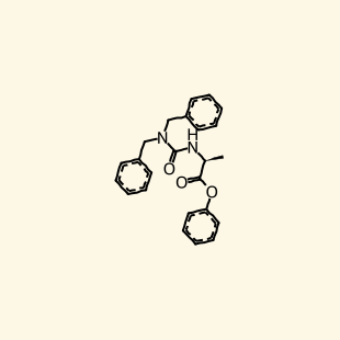 C[C@H](NC(=O)N(Cc1ccccc1)Cc1ccccc1)C(=O)Oc1ccccc1